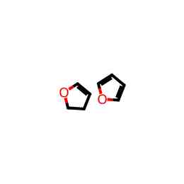 C1=COCC1.c1ccoc1